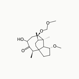 COCO[C@@H]1CC(O)C(=O)[C@H](C)C23CC[C@@H](C)[C@]1(C)C2[C@H](OC)CC3